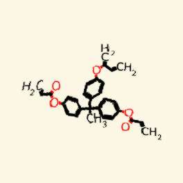 C=CC(=C)Oc1ccc(C(C)(c2ccc(OC(=O)C=C)cc2)c2ccc(OC(=O)C=C)cc2)cc1